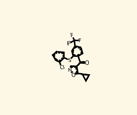 O=C(c1ccc(C(F)(F)F)cc1Sc1ccccc1Cl)c1cnoc1C1CC1